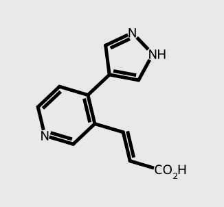 O=C(O)/C=C/c1cnccc1-c1cn[nH]c1